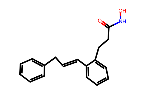 O=C(CCc1ccccc1C=CCc1ccccc1)NO